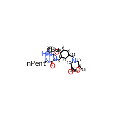 CCCCCNC(=O)N(CC1CCCC(CN(CC2CO2)CC2CO2)C1)C(=O)NCCCC